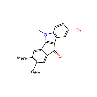 COc1cc2c(cc1OC)-c1c(c3cc(O)ccc3n1C)C2=O